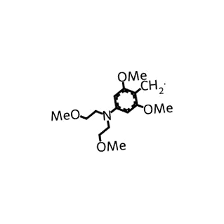 [CH2]c1c(OC)cc(N(CCOC)CCOC)cc1OC